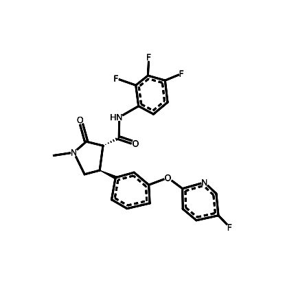 CN1C[C@H](c2cccc(Oc3ccc(F)cn3)c2)[C@@H](C(=O)Nc2ccc(F)c(F)c2F)C1=O